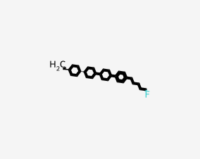 C=C[C@H]1CC[C@H](C2CCC(C3CCC(c4ccc(CCCCCF)cc4)CC3)CC2)CC1